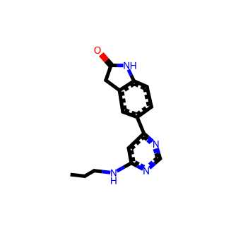 CCCNc1cc(-c2ccc3c(c2)CC(=O)N3)ncn1